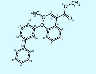 CO/C=C(/C(=O)OC)c1ccccc1Oc1nccc(-c2ccccc2)n1